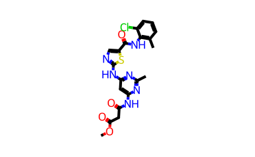 COC(=O)CC(=O)Nc1cc(Nc2ncc(C(=O)Nc3c(C)cccc3Cl)s2)nc(C)n1